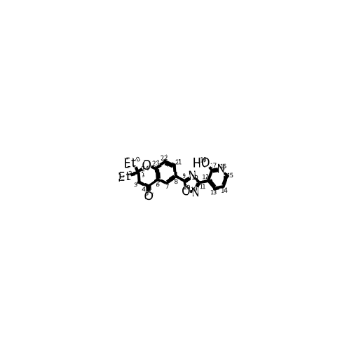 CCC1(CC)CC(=O)c2cc(-c3nc(-c4cccnc4O)no3)ccc2O1